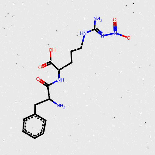 NC(=N[N+](=O)[O-])NCCCC(NC(=O)C(N)Cc1ccccc1)C(=O)O